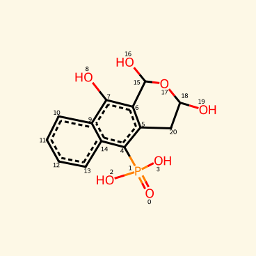 O=P(O)(O)c1c2c(c(O)c3ccccc13)C(O)OC(O)C2